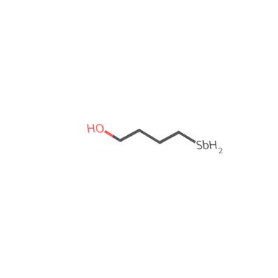 OCCC[CH2][SbH2]